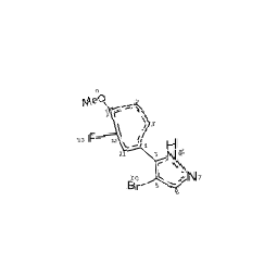 COc1ccc(-c2[nH]ncc2Br)cc1F